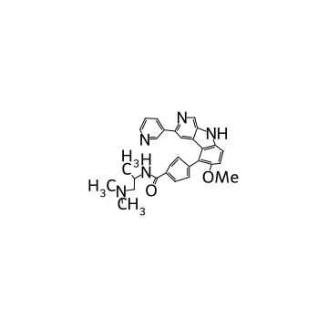 COc1ccc2[nH]c3cnc(-c4cccnc4)cc3c2c1-c1ccc(C(=O)NC(C)CN(C)C)cc1